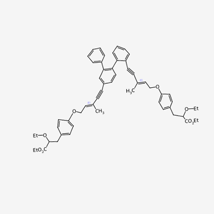 CCOC(=O)C(Cc1ccc(OC/C=C(\C)C#Cc2ccc(-c3ccccc3C#C/C(C)=C/COc3ccc(CC(OCC)C(=O)OCC)cc3)c(-c3ccccc3)c2)cc1)OCC